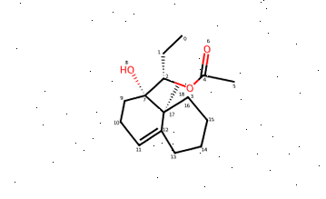 CC[C@H](OC(C)=O)[C@]1(O)CCC=C2CCCC[C@@]21C